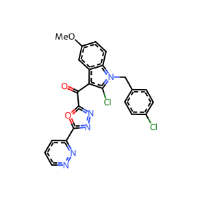 COc1ccc2c(c1)c(C(=O)c1nnc(-c3cccnn3)o1)c(Cl)n2Cc1ccc(Cl)cc1